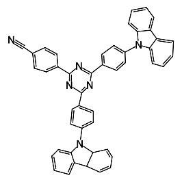 N#Cc1ccc(-c2nc(-c3ccc(N4c5ccccc5C5C=CC=CC54)cc3)nc(-c3ccc(-n4c5ccccc5c5ccccc54)cc3)n2)cc1